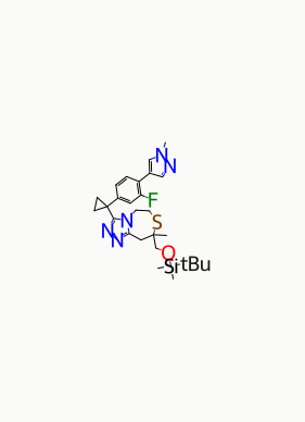 Cn1cc(-c2ccc(C3(c4nnc5n4CCSC(C)(CO[Si](C)(C)C(C)(C)C)C5)CC3)cc2F)cn1